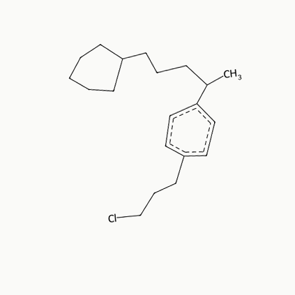 CC(CCCC1CCCCC1)c1ccc(CCCCl)cc1